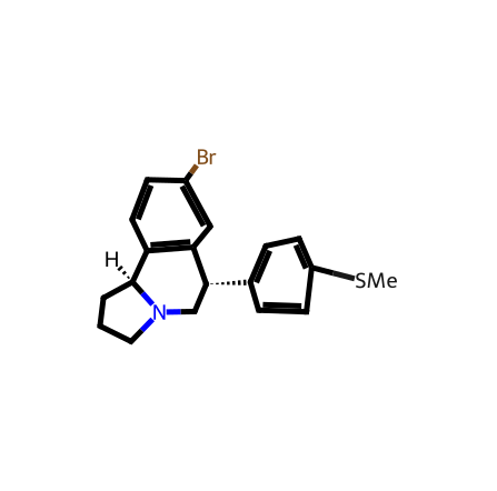 CSc1ccc([C@@H]2CN3CCC[C@H]3c3ccc(Br)cc32)cc1